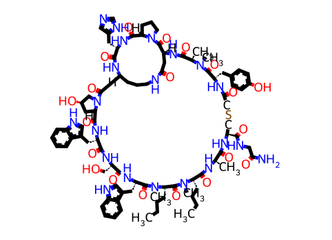 CCCC[C@H]1C(=O)N(C)[C@@H](CCCC)C(=O)N[C@@H](C)C(=O)N[C@H](C(=O)NCC(N)=O)CSCC(=O)N[C@@H](Cc2ccc(O)cc2)C(=O)N(C)[C@@H](C)C(=O)N[C@H]2CC(=O)NCCC[C@H](NC(=O)[C@H](Cc3cnc[nH]3)NC(=O)[C@@H]3CCCN3C2=O)C(=O)N2C[C@H](O)C[C@H]2C(=O)N[C@@H](Cc2c[nH]c3ccccc23)C(=O)N[C@@H](CO)C(=O)N[C@@H](Cc2c[nH]c3ccccc23)C(=O)N1C